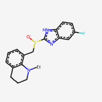 CCN1CCCc2cccc(C[S+]([O-])c3nc4cc(F)ccc4[nH]3)c21